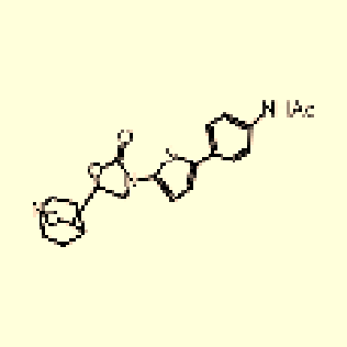 CC(=O)Nc1ccc(-c2ccc(N3CC(C4CN5CCC4CC5)OC3=O)s2)cc1